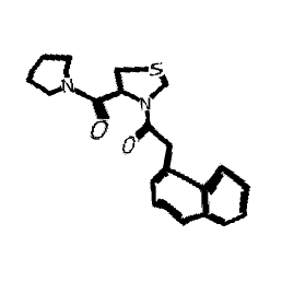 O=C(C1CSCN1C(=O)Cc1cccc2ccccc12)N1CCCC1